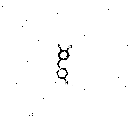 NC1CCN(Cc2ccc(Cl)c(F)c2)CC1